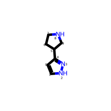 [c]1c[nH]nc1C1CCNC1